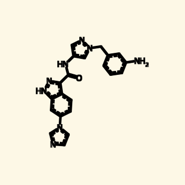 Nc1cccc(Cn2cc(NC(=O)c3n[nH]c4cc(-n5ccnc5)ccc34)cn2)c1